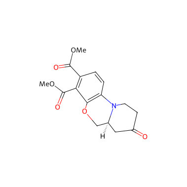 COC(=O)c1ccc2c(c1C(=O)OC)OC[C@@H]1CC(=O)CCN21